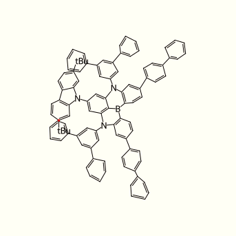 CC(C)(C)c1ccc2c3ccc(C(C)(C)C)cc3n(-c3cc4c5c(c3)N(c3cc(-c6ccccc6)cc(-c6ccccc6)c3)c3cc(-c6ccc(-c7ccccc7)cc6)ccc3B5c3ccc(-c5ccc(-c6ccccc6)cc5)cc3N4c3cc(-c4ccccc4)cc(-c4ccccc4)c3)c2c1